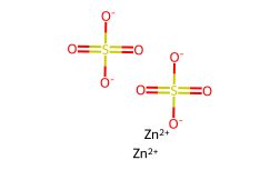 O=S(=O)([O-])[O-].O=S(=O)([O-])[O-].[Zn+2].[Zn+2]